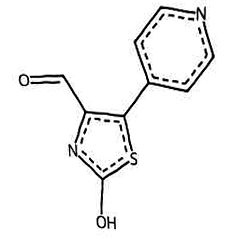 O=Cc1nc(O)sc1-c1ccncc1